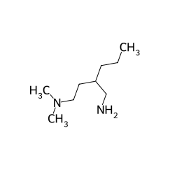 CCCC(CN)CCN(C)C